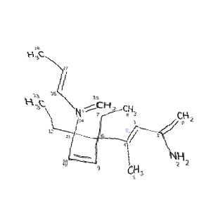 C=C(N)/C=C(\C)C1(CC)C=CC1(CC)[N+](=C)C=CC